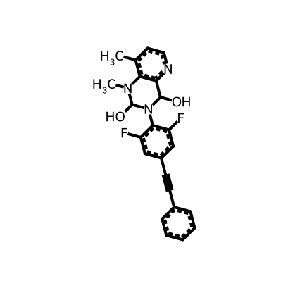 Cc1ccnc2c1N(C)C(O)N(c1c(F)cc(C#Cc3ccccc3)cc1F)C2O